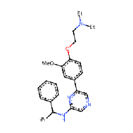 CCCC(Nc1cncc(-c2ccc(OCCN(CC)CC)c(OC)c2)n1)c1ccccc1